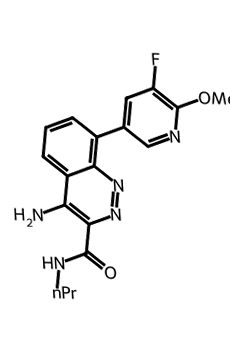 CCCNC(=O)c1nnc2c(-c3cnc(OC)c(F)c3)cccc2c1N